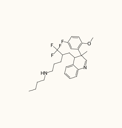 CCCCNCCCC(CC1c2ccccc2N=CC1(C)c1cc(F)ccc1OC)C(F)(F)F